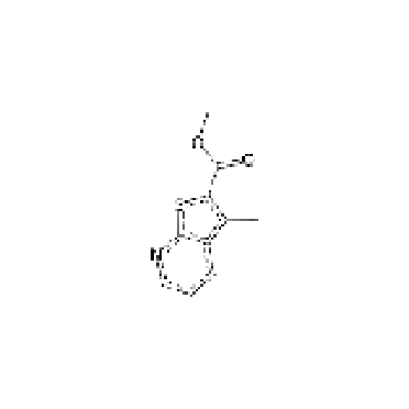 COC(=O)c1sc2ncccc2c1C